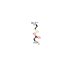 C=CCSOC(=O)C=C